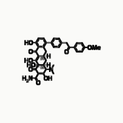 COc1ccc(C(=O)Cc2ccc(-c3ccc(O)c4c3C[C@H]3C[C@H]5C(N(C)C)C(O)=C(C(N)=O)C(=O)[C@@]5(O)C(O)=C3C4=O)cc2)cc1